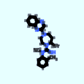 Cc1ccccc1N(C#N)C(=N)N1CCN(c2cnc3ccccc3n2)CCC1C(C)C